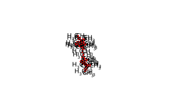 CC(C)(C)c1ccc(-c2c(-c3ccc(C(C)(C)C)cc3)n3c4c(cc(C(C)(C)C)cc24)-c2cc(C(C)(C)C)cc4c2B3c2cc(C(C)(C)C)cc3c5cc(C(C)(C)CCC(C)(C)c6ccc7c(c6)c6cc(C(C)(C)C)cc8c6n7-c6cccc7c6B8c6cc8c9cc(C(C)(C)C)ccc9n(-c9ccc(C(C)(C)C)cc9)c8cc6C7(C)C)ccc5n-4c23)cc1